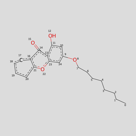 CCCCCCCCOc1cc(O)c2c(=O)c3ccccc3oc2c1